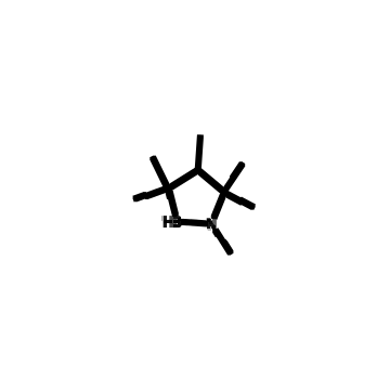 CC1C(C)(C)BN(C)C1(C)C